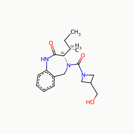 CC[C@H](C)[C@H]1C(=O)Nc2ccccc2CN1C(=O)N1CC(CO)C1